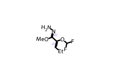 CC/C=C(OC(F)F)/C(=N/N)OC